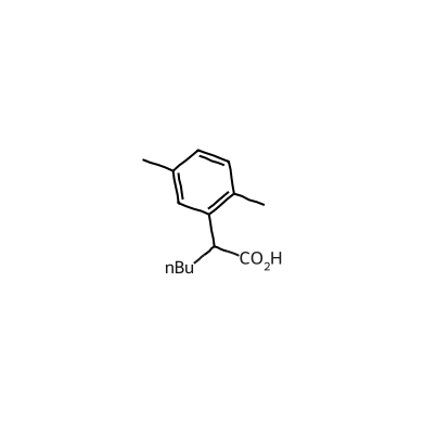 CCCCC(C(=O)O)c1cc(C)ccc1C